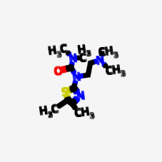 Cc1nc(N(CCN(C)C)C(=O)N(C)C)sc1C